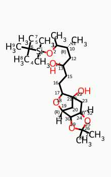 CC(O[Si](C)(C)C(C)(C)C)[C@H](C)CC(O)CCC1O[C@@H]2C[C@@]1(O)C[C@H]1OC(C)(C)OC21